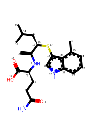 C=C(N[C@@H](CCC(N)=O)C(=O)O)[C@@H](CC(C)C)Sc1c[nH]c2cccc(C)c12